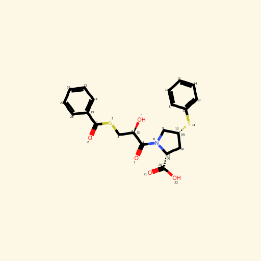 O=C(SC[C@@H](O)C(=O)N1C[C@H](Sc2ccccc2)C[C@@H]1C(=O)O)c1ccccc1